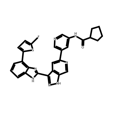 O=C(Nc1cncc(-c2cc3c(-c4nc5c(-c6ccc(F)s6)cccc5[nH]4)n[nH]c3cn2)c1)C1CCCC1